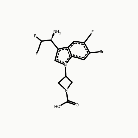 N[C@@H](c1cn(C2CN(C(=O)O)C2)c2cc(Br)c(F)cc12)C(F)F